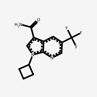 NC(=O)c1cn(C2CCC2)c2ncc(C(F)(F)F)cc12